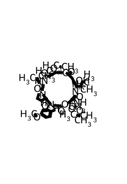 CC[C@H](C)[C@H]1NC(=O)[C@@H](NC(=O)OC(C)(C)C)[C@@H](C)OC(=O)[C@H](Cc2ccc(OC)cc2)N(C)C(=O)[C@@H]2CCCN2C(=O)[C@H](CC(C)C)NC(=O)[C@@H](C)C(=O)[C@H](C(C)C)OC(=O)C[C@@H]1O